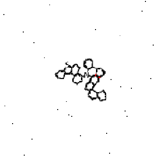 c1ccc(-c2ccccc2N(c2cccc3c2ccc2ccc4ccccc4c23)c2cccc3c2ccc2sc4ccccc4c23)cc1